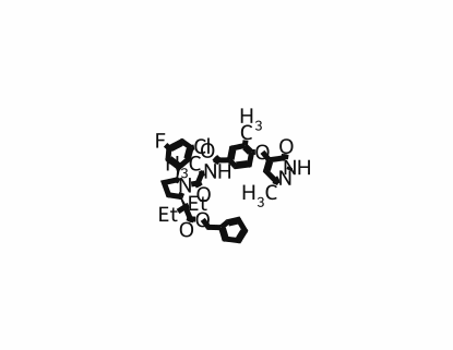 CCC(CC)(C(=O)OCc1ccccc1)[C@H]1CC[C@@H](c2cc(F)cc(Cl)c2)N1C(=O)[C@@H](C)NC(=O)c1ccc(Oc2cc(C)n[nH]c2=O)c(C)c1